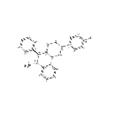 N[C@@H](c1ccccc1)[C@@H](c1ccccc1)N1CCN(c2ccc(F)cc2)CC1